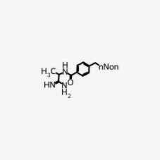 CCCCCCCCCCc1ccc(C(=O)NC(C)C(=N)N)cc1